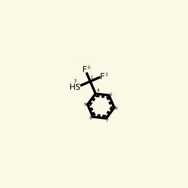 FC(F)(S)c1ccccc1